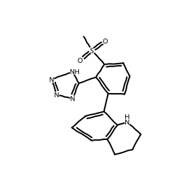 CS(=O)(=O)c1cccc(-c2cccc3c2NCCC3)c1-c1nnn[nH]1